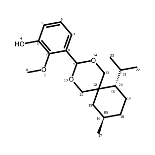 COc1c(O)cccc1C1OCC2(CO1)C[C@H](C)CC[C@H]2C(C)C